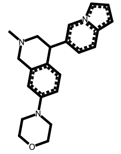 CN1Cc2cc(N3CCOCC3)ccc2C(c2ccc3cccn3c2)C1